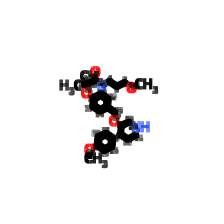 COCCCN1C(=O)C(C)(C)Oc2ccc(CO[C@H]3CNCC[C@@H]3c3ccc(OC)cc3)cc21